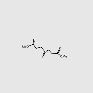 COC(=O)C[CH2][Sn](=[S])[CH2]CC(=O)OC